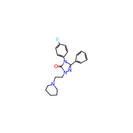 O=c1n(CCN2CCCCC2)nc(-c2ccccc2)n1-c1ccc(F)cc1